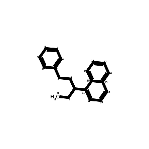 CC[C](CCc1ccccc1)c1cccc2ccccc12